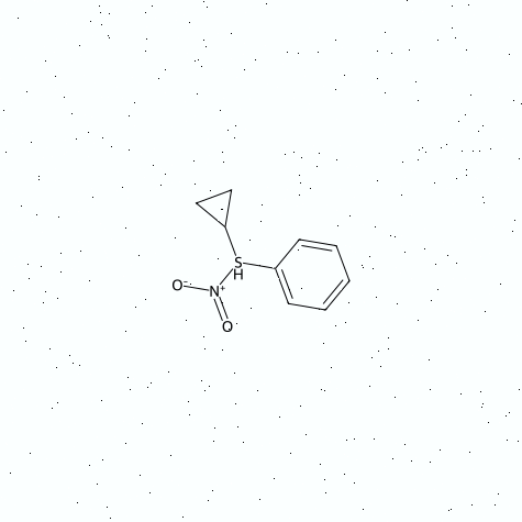 O=[N+]([O-])[SH](c1ccccc1)C1CC1